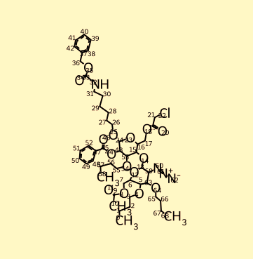 CCCCOC1C(COC(C)=O)OC(OC2C(COC(=O)CCl)OC(OCCCCCCNC(=O)OCc3ccccc3)C(OC(=O)c3ccccc3)C2OCCCC)C(N=[N+]=[N-])C1OCCCC